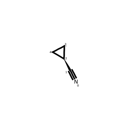 N#C[C@@H]1[CH]C1